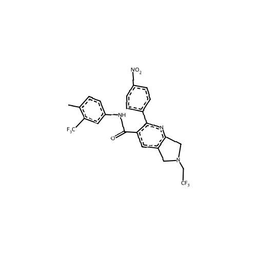 Cc1ccc(NC(=O)c2cc3c(nc2-c2ccc([N+](=O)[O-])cc2)CN(CC(F)(F)F)C3)cc1C(F)(F)F